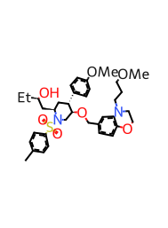 CC[C@@H](O)C[C@H]1C[C@H](c2ccc(OC)cc2)[C@@H](OCc2ccc3c(c2)N(CCCOC)CCO3)CN1S(=O)(=O)c1ccc(C)cc1